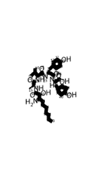 CCCCCCCC(N)C(O)C(=O)N[C@@H](C)C(=O)N[C@H](C(=O)N(C)[C@@H](Cc1ccc(O)cc1)C(=O)N[C@@H](Cc1ccc(O)cc1)C(=O)O)C(C)C